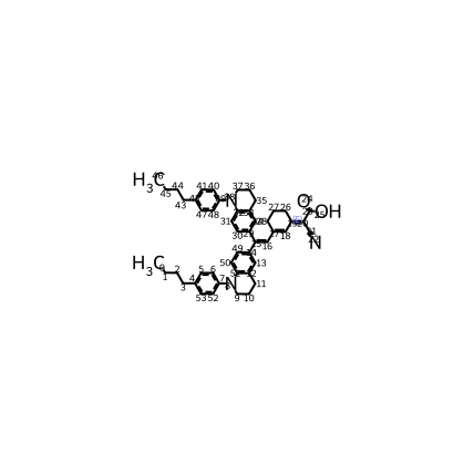 CCCCc1ccc(N2CCCc3cc(C(=CC4=C/C(=C(\C#N)C(=O)O)CCC4)c4ccc5c(c4)CCCN5c4ccc(CCCC)cc4)ccc32)cc1